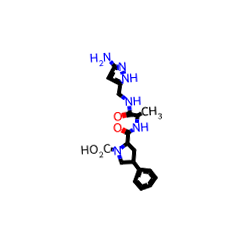 CC(NC(=O)C1CC(c2ccccc2)CN1C(=O)O)C(=O)NCc1cc(N)n[nH]1